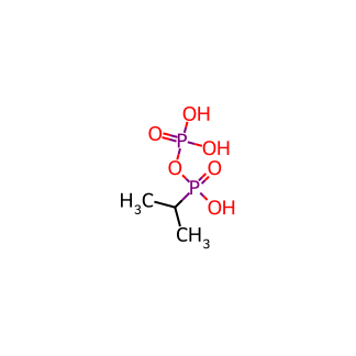 CC(C)P(=O)(O)OP(=O)(O)O